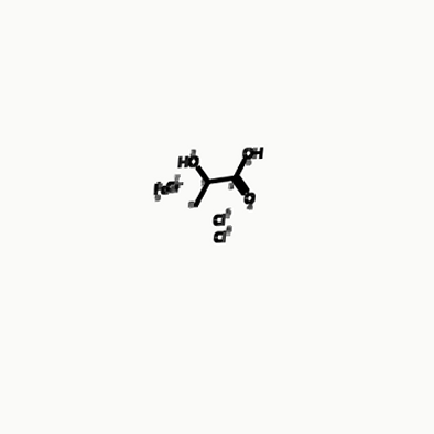 CC(O)C(=O)O.[Cl-].[Cl-].[Cl-].[Fe+3]